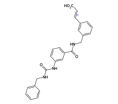 O=C(O)/C=C/c1cccc(CNC(=O)c2cccc(NC(=O)NCc3ccccc3)c2)c1